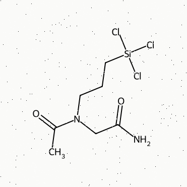 CC(=O)N(CCC[Si](Cl)(Cl)Cl)CC(N)=O